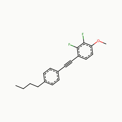 CCCCc1ccc(C#Cc2ccc(OC)c(F)c2F)cc1